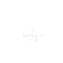 Cc1c(C#Cc2ccccn2)sc2c1C(c1ccc(Cl)cc1)=N[C@@H](CC(N)=O)c1nnc(C)n1-2